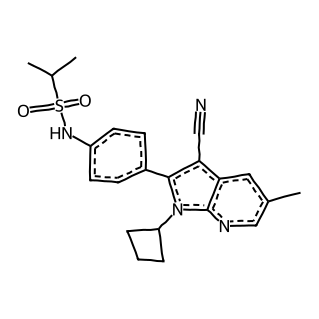 Cc1cnc2c(c1)c(C#N)c(-c1ccc(NS(=O)(=O)C(C)C)cc1)n2C1CCC1